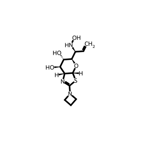 C=C[C@H](NO)[C@H]1O[C@@H]2SC(N3CCC3)=N[C@@H]2[C@@H](O)[C@@H]1O